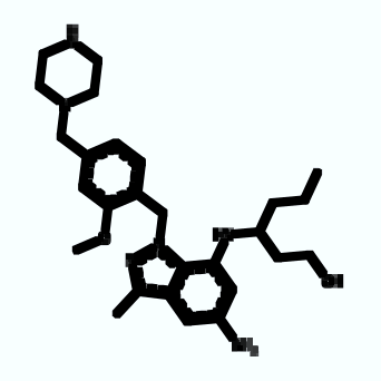 CCCC(CCO)Nc1cc(N)cc2c(C)nn(Cc3ccc(CN4CCNCC4)cc3OC)c12